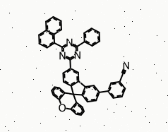 N#Cc1cccc(-c2ccc3c(c2)-c2cc(-c4nc(-c5ccccc5)nc(-c5cccc6ccccc56)n4)ccc2C32c3ccccc3Oc3ccccc32)c1